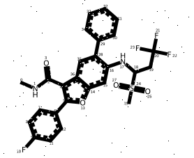 CNC(=O)c1c(-c2ccc(F)cc2)oc2cc(NC(CC(F)(F)F)S(C)(=O)=O)c(-c3ccccc3)cc12